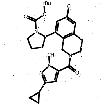 Cn1nc(C2CC2)cc1C(=O)N1CCc2cc(Cl)cc(C3CCCN3C(=O)OC(C)(C)C)c2C1